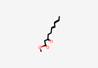 C/C=C/C=CCCC(=O)CC(=O)OC